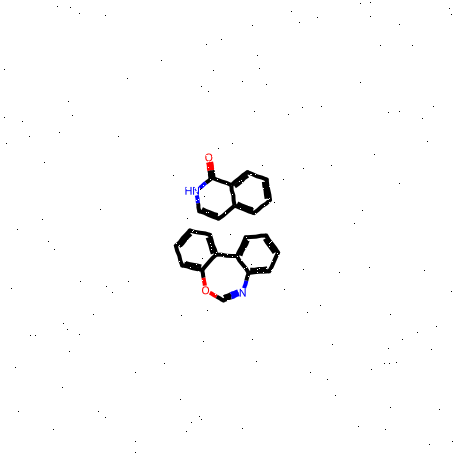 C1=Nc2ccccc2-c2ccccc2O1.O=c1[nH]ccc2ccccc12